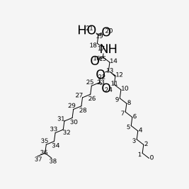 CCCCCCCCCCCCC[C@H](CC(=O)NCC(=O)O)OC(=O)CCCCCCCCCCCC(C)C